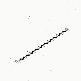 CCCCCCCCOCCOCCOCCOCCOCCOCCOCCOCCOCCOCCO